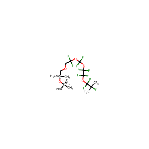 CCCC[Si](C)(C)O[Si](C)(C)COCC(F)(F)OC(F)(F)OC(F)(F)C(F)(F)OC(F)(F)C(F)(C(F)(F)F)C(F)(F)F